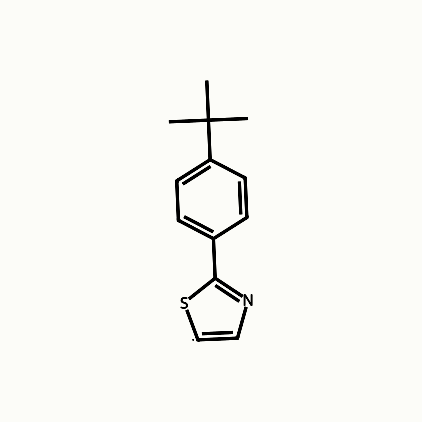 CC(C)(C)c1ccc(-c2nc[c]s2)cc1